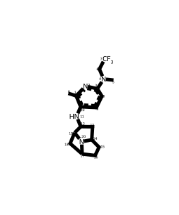 Cc1nc(N(C)CC(F)(F)F)ccc1NC1CC2CCC3CC1N23